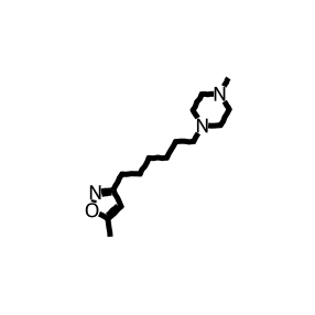 Cc1cc(CCCCCCN2CCN(C)CC2)no1